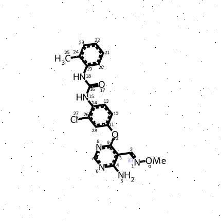 CO/N=C/c1c(N)ncnc1Oc1ccc(NC(=O)Nc2ccccc2C)c(Cl)c1